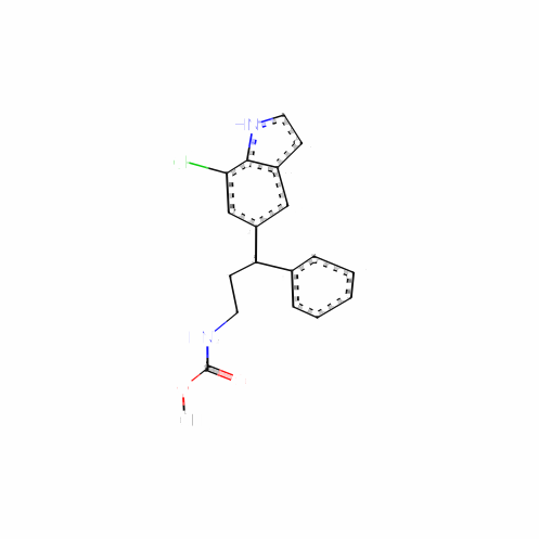 COC(=O)NCCC(c1ccccc1)c1cc(Cl)c2[nH]ccc2c1